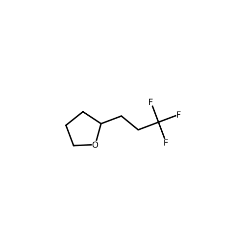 FC(F)(F)CCC1CCCO1